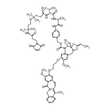 C/C=C1/C[C@H]2C(C)N(C(=O)OCc3ccc(NC(=O)[C@H](C)NC(=O)[C@@H](NC(=O)CCC(C)(C)OCCC(C)(C)NC(=O)CCN4C(=O)C=CC4=O)C(C)C)cc3)c3cc(OCCCOc4cc5c(cc4OC)C(=O)N4Cc6ccccc6C(C)=C4C=N5)c(OC)cc3CN2C1